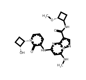 CNc1cc(Nc2cccn([C@H]3CC[C@H]3O)c2=O)nc2c(C(=O)NC3CC[C@H]3OC)cnn12